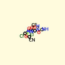 N#Cc1cc(Cl)cc(Oc2c(Cl)ccc(CNC(=O)c3[nH]c4ccc(NC(=O)C5CCNCC5)cc4c3OC(=O)C(F)(F)F)c2F)c1